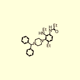 CCNc1c(NC(=O)CC)ccc(CC)c1N1CCN(C(c2ccccc2)c2ccccc2)CC1